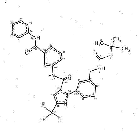 CC(C)(C)OC(=O)NCc1cccc(-n2nc(C(F)(F)F)cc2C(=O)Nc2cccc(C(=O)Nc3ccccc3)c2)c1